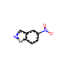 O=[N+]([O-])c1ccc2[se]ncc2c1